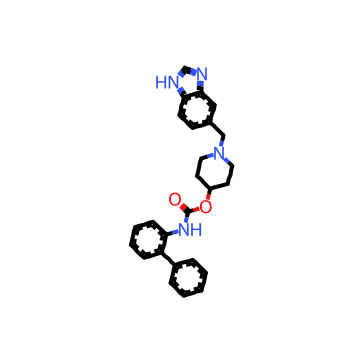 O=C(Nc1ccccc1-c1ccccc1)OC1CCN(Cc2ccc3[nH]cnc3c2)CC1